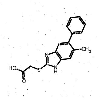 Cc1cc2[nH]c(SCC(=O)O)nc2cc1-c1ccccc1